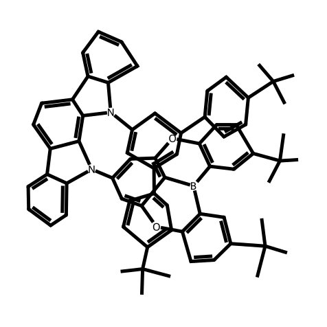 CC(C)(C)c1ccc(-c2cc(-c3ccc(C(C)(C)C)cc3)cc(-n3c4ccccc4c4ccc5c6ccccc6n(-c6cc7c8c(c6)Oc6ccc(C(C)(C)C)cc6B8c6cc(C(C)(C)C)ccc6O7)c5c43)c2)cc1